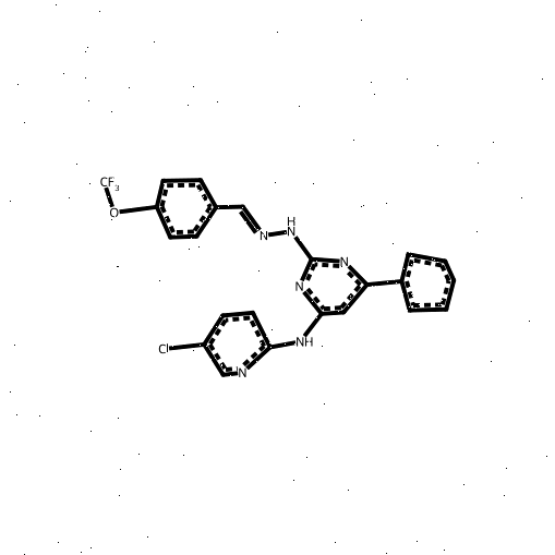 FC(F)(F)Oc1ccc(C=NNc2nc(Nc3ccc(Cl)cn3)cc(-c3ccccc3)n2)cc1